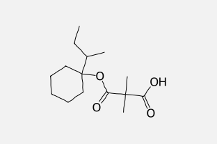 CCC(C)C1(OC(=O)C(C)(C)C(=O)O)CCCCC1